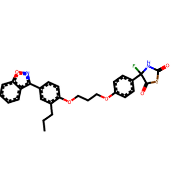 CCCc1cc(-c2noc3ccccc23)ccc1OCCCOc1ccc(C2(F)NC(=O)SC2=O)cc1